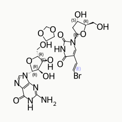 C1COCO1.Nc1nc2c(ncn2[C@@H]2O[C@H](CO)[C@@H](O)[C@H]2O)c(=O)[nH]1.O=c1[nH]c(=O)n([C@H]2C[C@H](O)[C@@H](CO)O2)cc1/C=C/Br